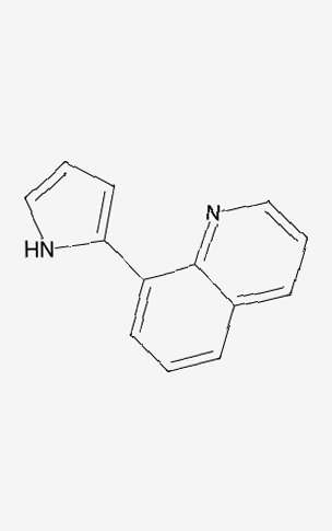 c1c[nH]c(-c2cccc3cccnc23)c1